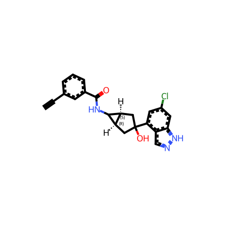 C#Cc1cccc(C(=O)NC2[C@H]3CC(O)(c4cc(Cl)cc5[nH]ncc45)C[C@@H]23)c1